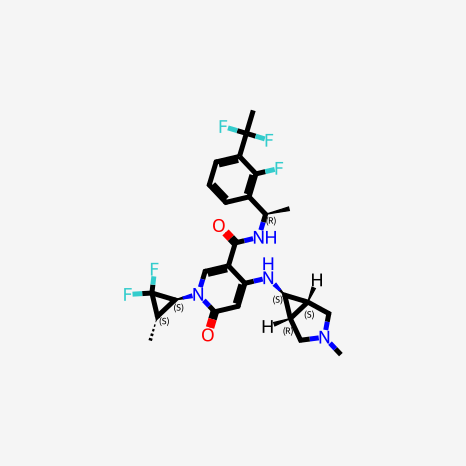 C[C@@H](NC(=O)c1cn([C@H]2[C@H](C)C2(F)F)c(=O)cc1N[C@H]1[C@@H]2CN(C)C[C@@H]21)c1cccc(C(C)(F)F)c1F